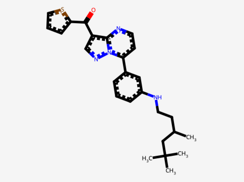 CC(CCNc1cccc(-c2ccnc3c(C(=O)c4cccs4)cnn23)c1)CC(C)(C)C